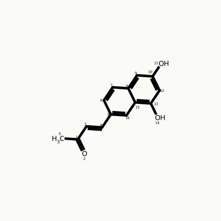 CC(=O)C=Cc1ccc2cc(O)cc(O)c2c1